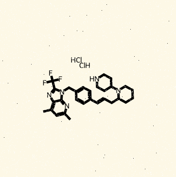 Cc1cc(C)c2nc(C(F)(F)F)n(Cc3ccc(/C=C/CC4CCCCN4C4CCNCC4)cc3)c2n1.Cl.Cl